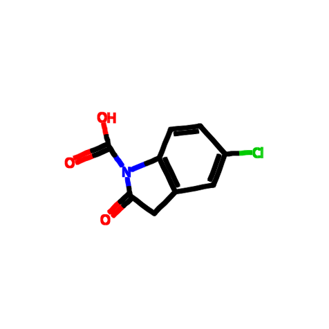 O=C(O)N1C(=O)Cc2cc(Cl)ccc21